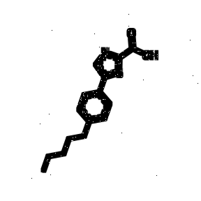 CCCCCc1ccc(-c2cnc(C(=O)O)s2)cc1